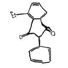 CCc1cccc2c1C(=O)C(c1ccccc1)C2=O